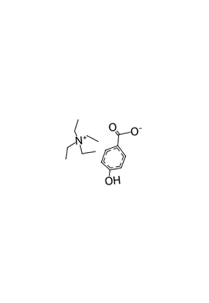 CC[N+](CC)(CC)CC.O=C([O-])c1ccc(O)cc1